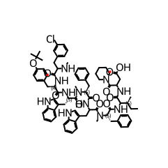 CC[C@H](C)C(NC(=O)[C@H](Cc1ccccc1)N(C)C(=O)C(Cc1c[nH]c2ccccc12)NC(=O)[C@H](Cc1ccccc1)N(C)C(=O)[C@H](Cc1c[nH]c2ccccc12)NC(=O)[C@@H](Cc1ccc(OC(C)(C)C)cc1)NC(=O)C(Cc1cccc(Cl)c1)NC)C(=O)NC(CC(=O)O)C(=O)N1CCCCC1